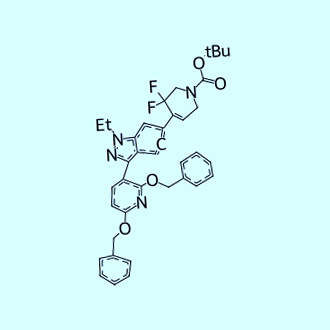 CCn1nc(-c2ccc(OCc3ccccc3)nc2OCc2ccccc2)c2ccc(C3=CCN(C(=O)OC(C)(C)C)CC3(F)F)cc21